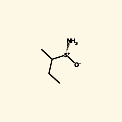 CCC(C)[S@+](N)[O-]